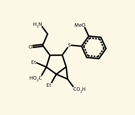 CCC1(C(=O)O)C(C(=O)CN)C(Sc2ccccc2OC)C2C(C(=O)O)C21CC